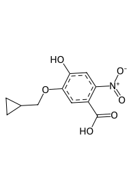 O=C(O)c1cc(OCC2CC2)c(O)cc1[N+](=O)[O-]